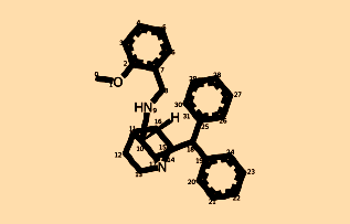 COc1ccccc1CN[C@H]1C2CCN(CC2)C1C(c1ccccc1)c1ccccc1